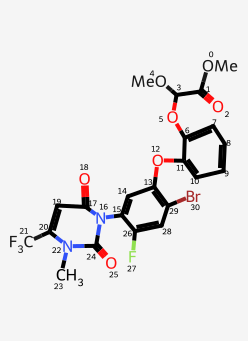 COC(=O)C(OC)Oc1ccccc1Oc1cc(-n2c(=O)cc(C(F)(F)F)n(C)c2=O)c(F)cc1Br